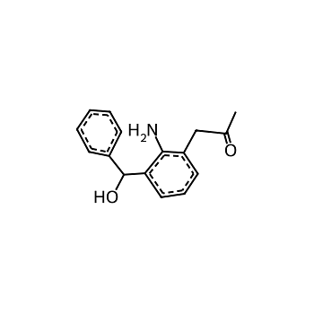 CC(=O)Cc1cccc(C(O)c2ccccc2)c1N